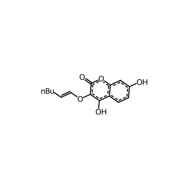 CCCCC=COc1c(O)c2ccc(O)cc2oc1=O